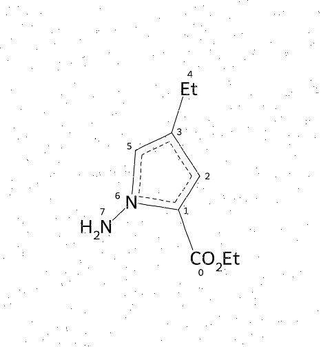 CCOC(=O)c1cc(CC)cn1N